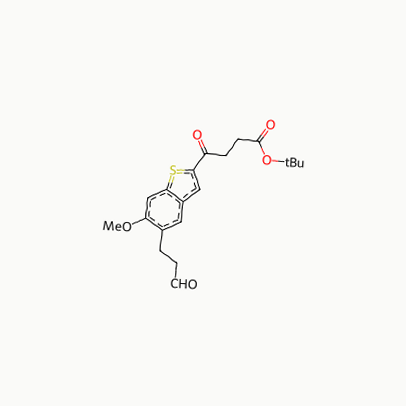 COc1cc2sc(C(=O)CCC(=O)OC(C)(C)C)cc2cc1CCC=O